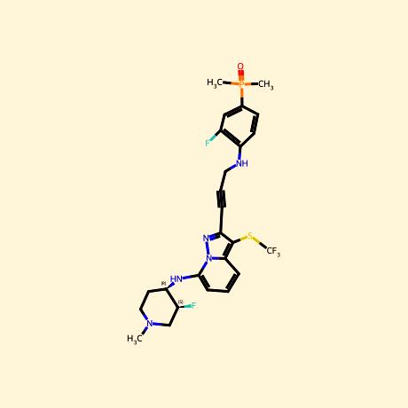 CN1CC[C@@H](Nc2cccc3c(SC(F)(F)F)c(C#CCNc4ccc(P(C)(C)=O)cc4F)nn23)[C@@H](F)C1